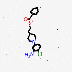 Nc1cc(N2CCC(CCCOC(=O)c3ccccc3)CC2)ccc1Cl